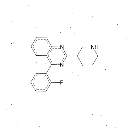 Fc1ccccc1-c1nc(C2CCCNC2)nc2ccccc12